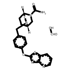 NC(=O)N1C[C@@H]2CC[C@H]1CN2Cc1ccc(Oc2nc3ncccc3s2)cc1.O=CO